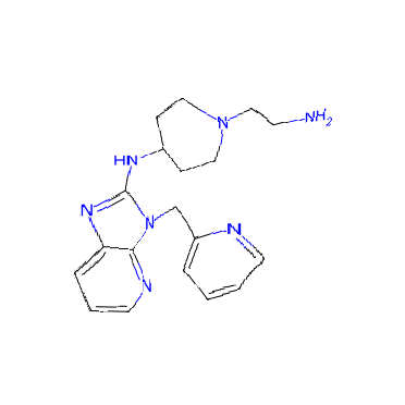 NCCN1CCC(Nc2nc3cccnc3n2Cc2ccccn2)CC1